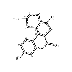 COC(=O)c1cc(O)c2ccc(C(C)(C)C)cc2c1-c1ccc(Br)cc1